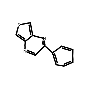 c1ccc(-c2cnc3cscc3n2)cc1